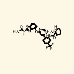 CC(=O)Nc1nc2c(Oc3cc(-c4ccc(C(F)(F)F)cc4NC(=O)[C@@]4(C)CCCCN4)ncn3)cccc2s1